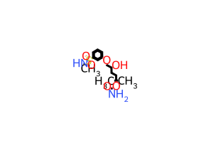 CNS(=O)(=O)c1cccc(OC[C@@H](O)CCC(C)(C)OC(N)=O)c1